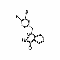 C#Cc1cc(Cc2n[nH]c(=O)c3ccccc23)ccc1F